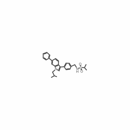 CC(C)Cn1cc(-c2ccc(CNS(=O)(=O)C(C)C)cc2)c2ccc(-c3ccccc3)cc21